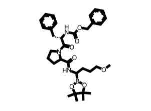 COCCCC(NC(=O)C1CCCN1C(=O)[C@H](Cc1ccccc1)NC(=O)OCc1ccccc1)B1OC(C)(C)C(C)(C)O1